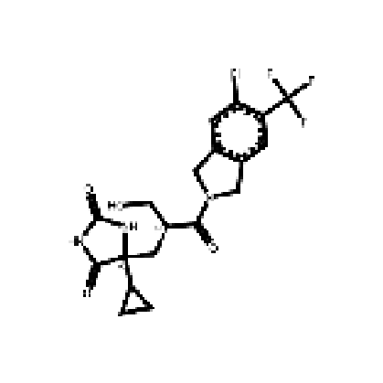 O=C1NC(=O)[C@@](C[C@@H](CO)C(=O)N2Cc3cc(Cl)c(C(F)(F)F)cc3C2)(C2CC2)N1